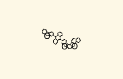 c1ccc2c(c1)ccc1c2oc2ccc3oc4cc(-c5c6ccccc6c(-c6ccc7c(c6)oc6ccccc67)c6ccccc56)ccc4c3c21